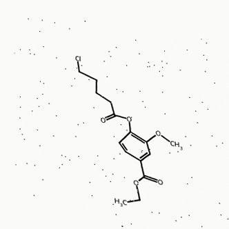 CCOC(=O)c1ccc(OC(=O)CCCCCl)c(OC)c1